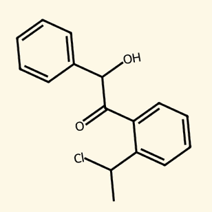 CC(Cl)c1ccccc1C(=O)C(O)c1ccccc1